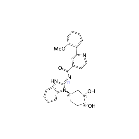 COc1ccccc1-c1cc(C(=O)/N=c2\[nH]c3ccccc3n2[C@@H]2CC[C@@H](O)[C@@H](O)C2)ccn1